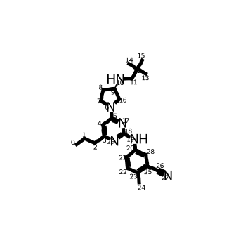 CCCc1cc(N2CC[C@H](NCC(C)(C)C)C2)nc(Nc2ccc(C)c(C#N)c2)n1